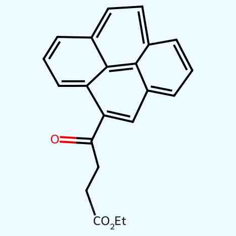 CCOC(=O)CCC(=O)c1cc2cccc3ccc4cccc1c4c32